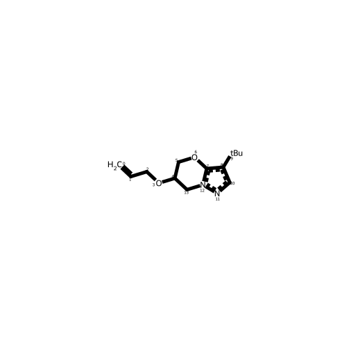 C=CCOC1COc2c(C(C)(C)C)cnn2C1